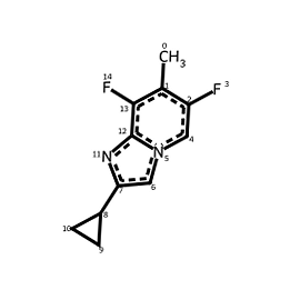 Cc1c(F)cn2cc(C3CC3)nc2c1F